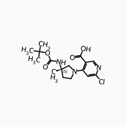 CC(C)(C)OC(=O)N[C@@]1(C)CCN(c2cc(Cl)ncc2C(=O)O)C1